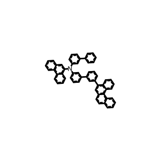 c1ccc(-c2cccc(N(c3cccc(-c4cccc(-c5cc6ccc7ccccc7c6c6ccccc56)c4)c3)c3cc4ccccc4c4ccccc34)c2)cc1